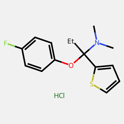 CCC(Oc1ccc(F)cc1)(c1cccs1)N(C)C.Cl